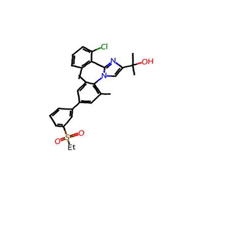 CCS(=O)(=O)c1cccc(-c2cc(C)c(-n3cc(C(C)(C)O)nc3-c3c(C)cccc3Cl)c(C)c2)c1